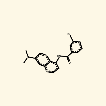 CN(C)c1cnc2c(NC(=O)c3cccc(Br)c3)ccnc2c1